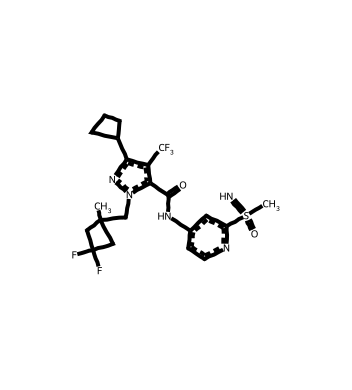 CC1(Cn2nc(C3CCC3)c(C(F)(F)F)c2C(=O)Nc2ccnc(S(C)(=N)=O)c2)CC(F)(F)C1